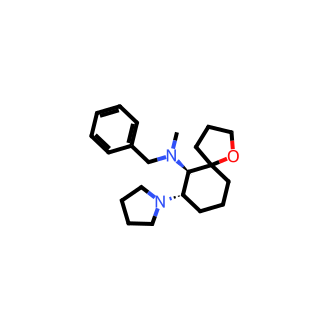 CN(Cc1ccccc1)[C@@H]1[C@@H](N2CCCC2)CCCC12CCCO2